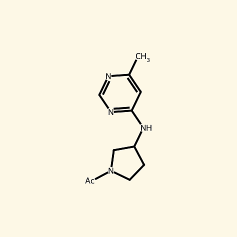 CC(=O)N1CCC(Nc2cc(C)ncn2)C1